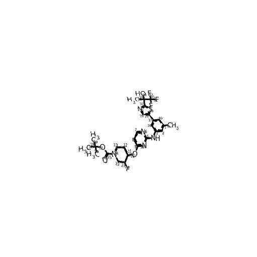 Cc1cc(Nc2nccc(OC3CCN(C(=O)OC(C)(C)C)CC3F)n2)cc(-c2cnc(C(C)(O)C(F)(F)F)s2)c1